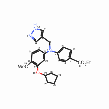 CCOC(=O)c1ccc(N(Cc2cn[nH]c2)c2ccc(OC)c(OC3CCCC3)c2)cc1